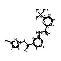 Cc1ccn(CC(=O)c2cccc(NC(=O)c3cccc(C(F)(F)F)n3)c2)n1